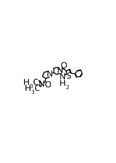 CCN(CC)C(=O)C1CCCN(C2CCN(C(=O)C3C=C(c4ccccc4)SC3N)CC2)C1